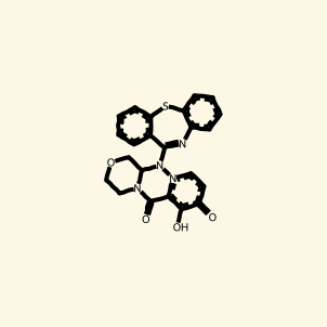 O=C1c2c(O)c(=O)ccn2N(C2=Nc3ccccc3Sc3ccccc32)C2COCCN12